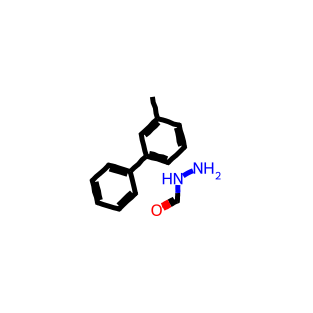 Cc1cccc(-c2ccccc2)c1.NNC=O